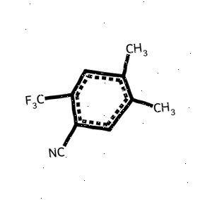 Cc1cc(C#N)c(C(F)(F)F)cc1C